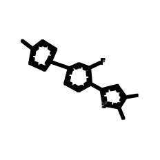 Cc1ccc(-c2ccc(-c3cc(C)c(C)s3)c(F)c2)cc1